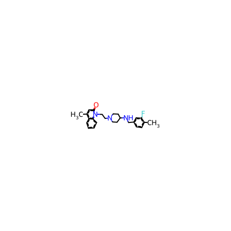 Cc1ccc(CNC2CCN(CCn3c(=O)cc(C)c4ccccc43)CC2)cc1F